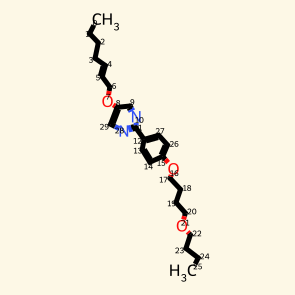 CCCC/C=C/COc1cnc(-c2ccc(OCCCCOCCCC)cc2)nc1